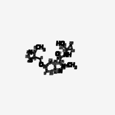 Cc1ncsc1COc1ccc2nn(C)c(C(=O)NC3(CO)CC3)c2c1